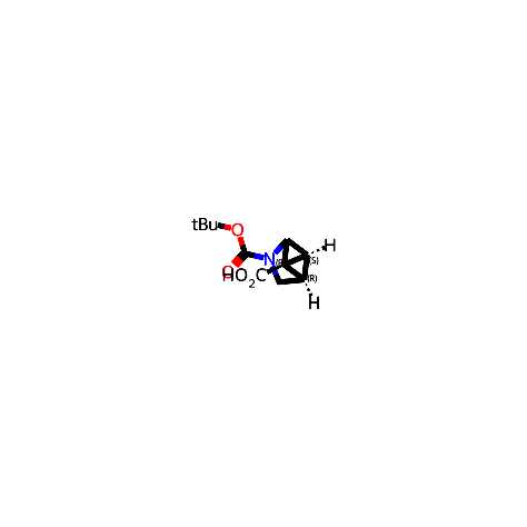 CC(C)(C)OC(=O)N1C[C@@H]2[C@@H]3C1[C@@]23C(=O)O